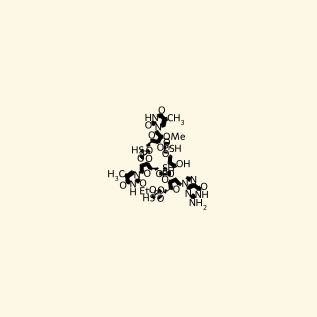 CCOP(=O)(S)OC[C@H]1O[C@@H](n2cnc3c(=O)[nH]c(N)nc32)CC1OP(=O)(S)OC[C@H]1O[C@@H](n2cc(C)c(=O)[nH]c2=O)CC1OP(=O)(S)OC[C@H]1O[C@@H](n2cc(C)c(=O)[nH]c2=O)C(OC)C1OP(=O)(S)OCCCO